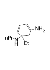 CCCNC1(CC)C=CC=C(N)C1